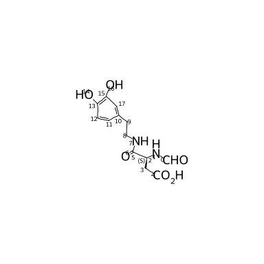 O=CN[C@@H](CC(=O)O)C(=O)NCCc1ccc(O)c(O)c1